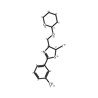 FC(F)(F)c1cccc(C2=NC(COC3CCCCO3)C(I)S2)c1